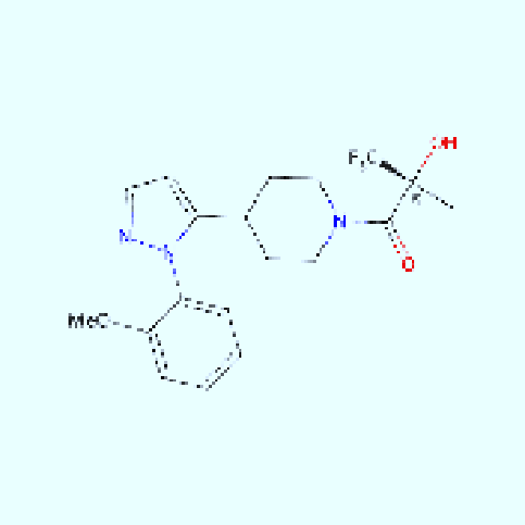 COc1ccccc1-n1nccc1C1CCN(C(=O)[C@@](C)(O)C(F)(F)F)CC1